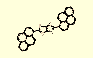 c1cc2ccc3ccc(-c4nc5sc(-c6ccc7ccc8cccc9ccc6c7c89)nc5s4)c4ccc(c1)c2c34